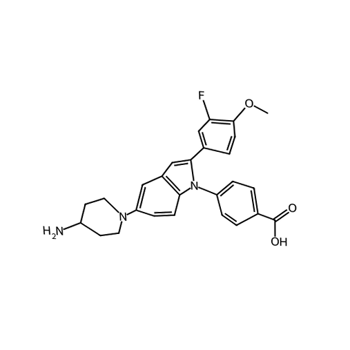 COc1ccc(-c2cc3cc(N4CCC(N)CC4)ccc3n2-c2ccc(C(=O)O)cc2)cc1F